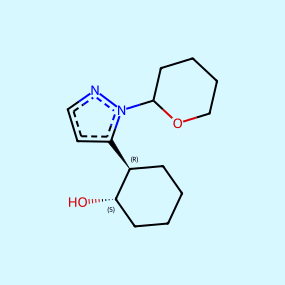 O[C@H]1CCCC[C@@H]1c1ccnn1C1CCCCO1